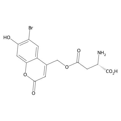 N[C@@H](CC(=O)OCc1cc(=O)oc2cc(O)c(Br)cc12)C(=O)O